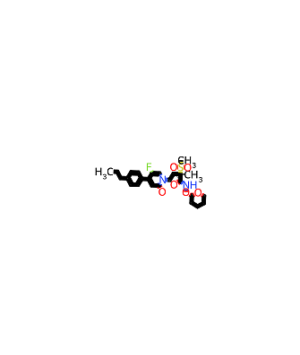 CCCc1ccc(-c2cc(=O)n(CC[C@](C)(C(=O)NOC3CCCCO3)S(C)(=O)=O)cc2F)cc1